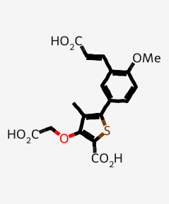 COc1ccc(-c2sc(C(=O)O)c(OCC(=O)O)c2C)cc1C=CC(=O)O